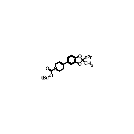 CCCC1(C)Oc2ccc(C3=CCN(C(=O)OC(C)(C)C)CC3)cc2O1